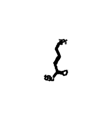 CC(C)C/C=C/C(=O)C(C)(C)C